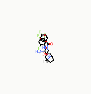 NC(Cc1cc(F)c(F)cc1F)C1CC2CC[C@H](C1)N2C(=O)CNC(=O)c1ccc(F)cc1